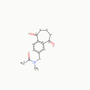 CC(=O)N(C)Cc1ccc2c(c1)C(=O)CCCC2=O